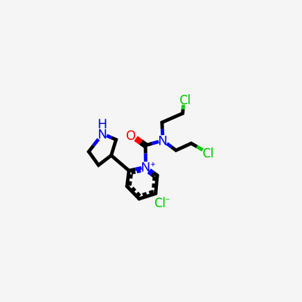 O=C(N(CCCl)CCCl)[n+]1ccccc1C1CCNC1.[Cl-]